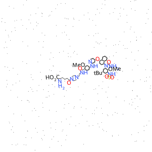 COc1cc(Nc2cc(Oc3ccc(N(C(N)=O)c4cc(C(C)(C)C)cc(NS(C)(=O)=O)c4OC)c4ccccc34)ccn2)ccc1C(=O)NCCN1CCN(C(=O)CCC[C@@H](N)C(=O)O)CC1